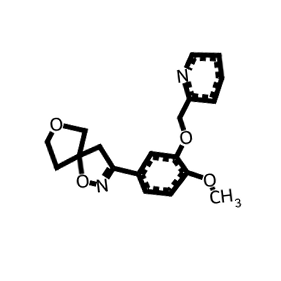 COc1ccc(C2=NOC3(CCOC3)C2)cc1OCc1ccccn1